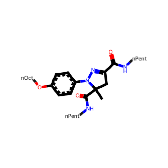 CCCCCCCCOc1ccc(N2N=C(C(=O)NCCCCC)CC2(C)C(=O)NCCCCC)cc1